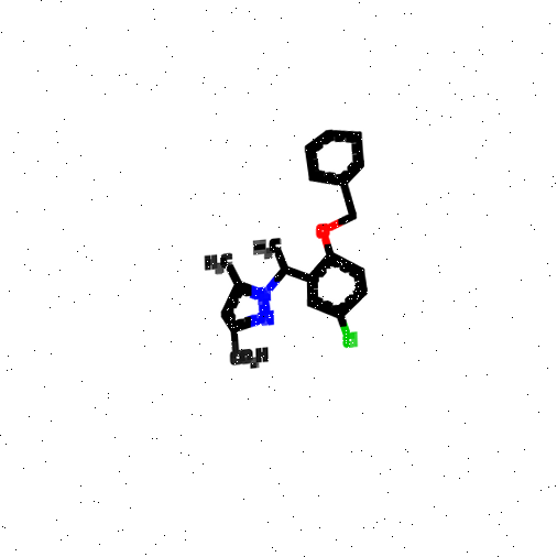 Cc1cc(C(=O)O)nn1C(C)c1cc(Cl)ccc1OCc1ccccc1